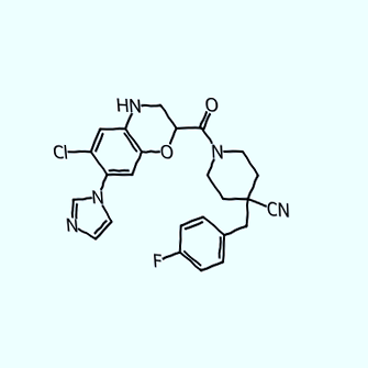 N#CC1(Cc2ccc(F)cc2)CCN(C(=O)C2CNc3cc(Cl)c(-n4ccnc4)cc3O2)CC1